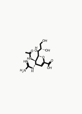 CC(=O)N[C@H]1[C@H]([C@@H](O)[C@@H](O)CO)OC(C(=O)O)=C[C@@H]1NC(=N)N